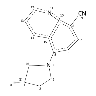 C[C@H]1CCN(c2ccc(C#N)c3ncccc23)C1